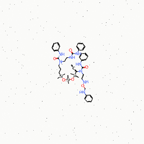 C=C=C(N(CCNOCNc1ccccc1)C(=O)Nc1ccccc1)[Si](C)(C)O[Si](C)(C)O[Si](C)(C)CCCN(CCNC(=O)Nc1ccccc1)C(=O)Nc1ccccc1